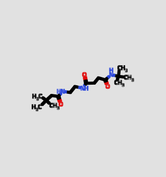 CC(C)(C)CC(=O)NCCNC(=O)CCC(=O)NC(C)(C)C